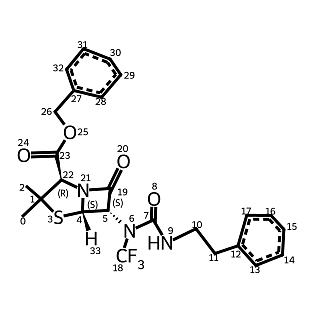 CC1(C)S[C@H]2[C@@H](N(C(=O)NCCc3ccccc3)C(F)(F)F)C(=O)N2[C@@H]1C(=O)OCc1ccccc1